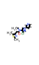 CCN(C(=O)Cc1nc(C)sc1C)c1cn(-c2cccnc2)nc1Cl